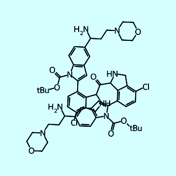 CC(C)(C)OC(=O)n1c(-c2ccc(Cl)c3c2C(C(=O)C2NCc4c(Cl)ccc(-c5cc6cc(C(N)CCN7CCOCC7)ccc6n5C(=O)OC(C)(C)C)c42)NC3)cc2cc(C(N)CCN3CCOCC3)ccc21